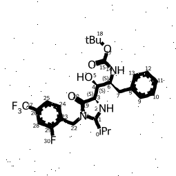 CC(C)C1N[C@@H]([C@@H](O)[C@H](Cc2ccccc2)NC(=O)OC(C)(C)C)C(=O)N1Cc1ccc(C(F)(F)F)cc1F